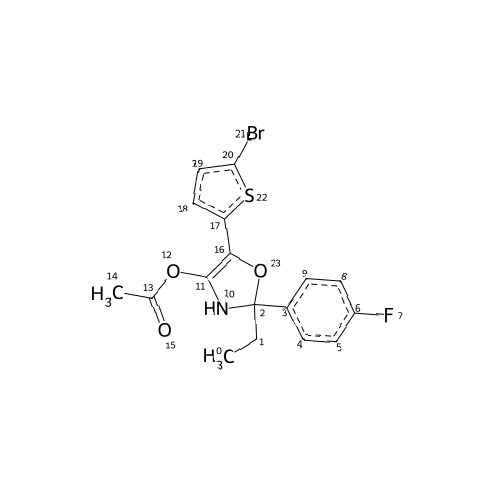 CCC1(c2ccc(F)cc2)NC(OC(C)=O)=C(c2ccc(Br)s2)O1